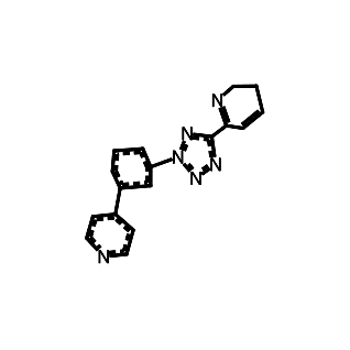 C1=CC(c2nnn(-c3cccc(-c4ccncc4)c3)n2)=NCC1